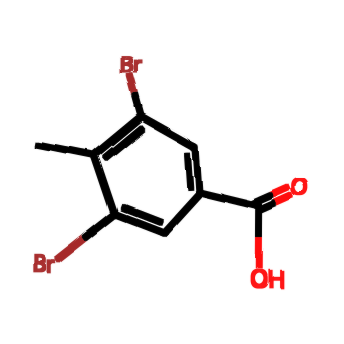 Cc1c(Br)cc(C(=O)O)cc1Br